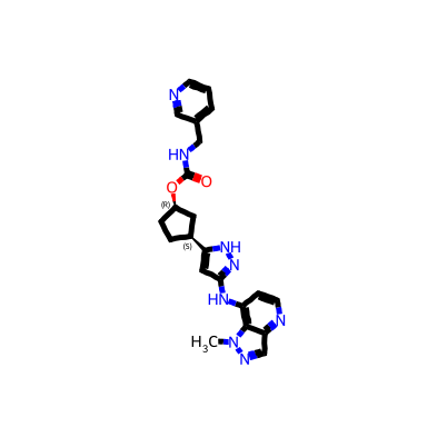 Cn1ncc2nccc(Nc3cc([C@H]4CC[C@@H](OC(=O)NCc5cccnc5)C4)[nH]n3)c21